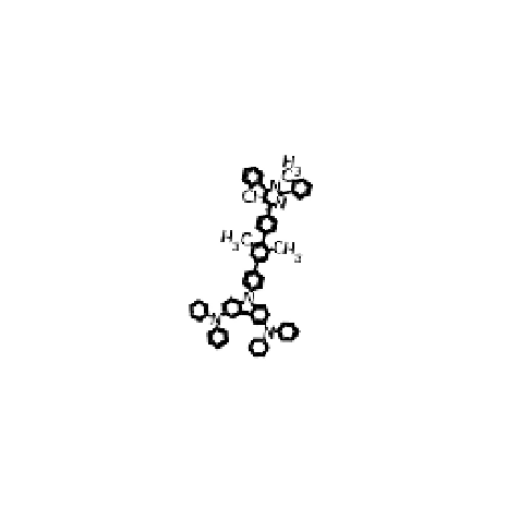 Cc1ccccc1-c1cc(-c2ccc(-c3c(C)cc(-c4ccc(-n5c6ccc(N(c7ccccc7)c7ccccc7)cc6c6cc(N(c7ccccc7)c7ccccc7)ccc65)cc4)cc3C)cc2)nc(-c2ccccc2C)n1